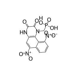 O=c1[nH]c2cc([N+](=O)[O-])c3cccc([N+](=O)[O-])c3c2n(CP(=O)(O)O)c1=O